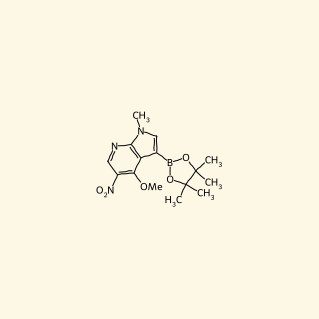 COc1c([N+](=O)[O-])cnc2c1c(B1OC(C)(C)C(C)(C)O1)cn2C